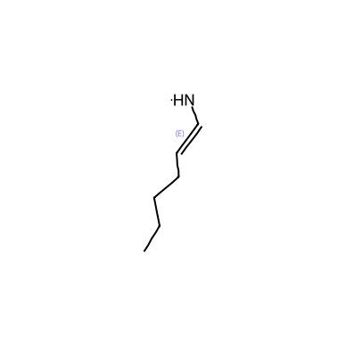 CCCC/C=C/[NH]